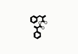 C=C(Cc1ccccc1)C(=O)OC(=O)C(=C)c1ccccc1